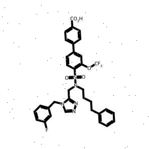 O=C(O)c1ccc(-c2ccc(S(=O)(=O)N(CCCCc3ccccc3)Cc3nncn3Cc3cccc(F)c3)c(OC(F)(F)F)c2)cc1